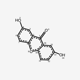 O=c1c2cc(O)ccc2oc2ccc(O)cc12